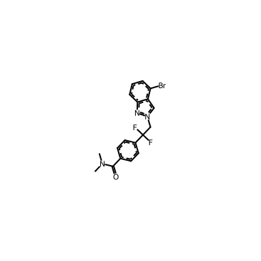 CN(C)C(=O)c1ccc(C(F)(F)Cn2cc3c(Br)cccc3n2)cc1